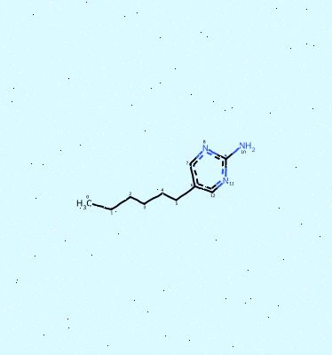 CCCCCCc1cnc(N)nc1